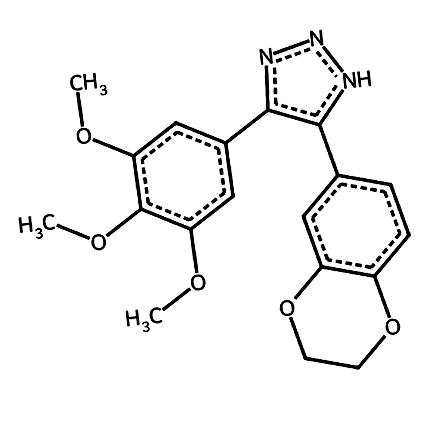 COc1cc(-c2nn[nH]c2-c2ccc3c(c2)OCCO3)cc(OC)c1OC